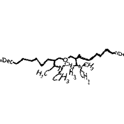 CCCCCCCCCCCCCCCCC(COCC(CCCCCCCCCCCCCCCC)C(C)N(C)C)C(C)N(C)C